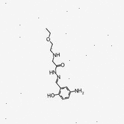 CCOCCNCC(=O)N/N=C/c1cc(N)ccc1O